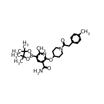 Cc1ccc(CC(=O)N2CCC(Oc3nc(C)c(B4OC(C)(C)C(C)(C)O4)cc3C(N)=O)CC2)cc1